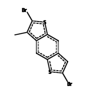 Cc1c(Br)sc2cc3cc(Br)sc3cc12